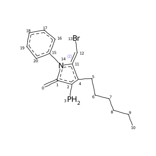 C=c1c(P)c(CCCCCC)/c(=C/Br)n1-c1ccccc1